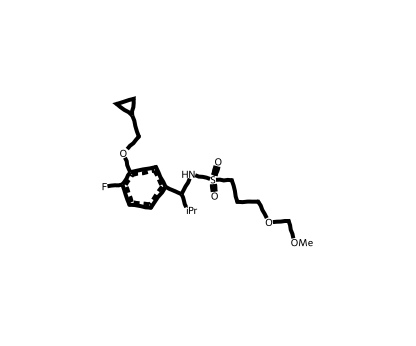 COCOCCCS(=O)(=O)NC(c1ccc(F)c(OCC2CC2)c1)C(C)C